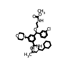 CNC[C@H](CC1CCCCC1)NC(=O)c1cc(C(OCCNC(=O)OC)c2cccc(Cl)c2)cc(N2CCOCC2)c1